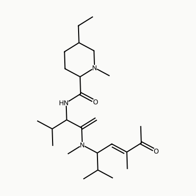 C=C(C(NC(=O)C1CCC(CC)CN1C)C(C)C)N(C)C(/C=C(\C)C(C)=O)C(C)C